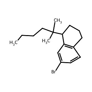 CCCCC(C)(C)C1CCCc2ccc(Br)cc21